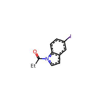 CCC(=O)n1ccc2cc(I)ccc21